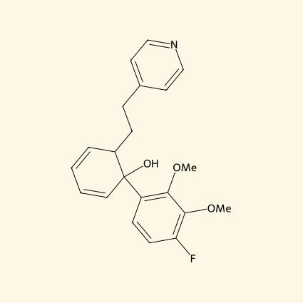 COc1c(F)ccc(C2(O)C=CC=CC2CCc2ccncc2)c1OC